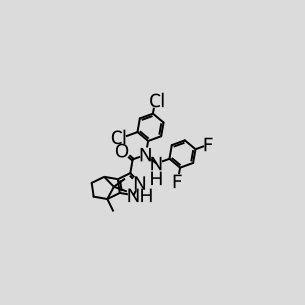 CC12CCC(c3c(C(=O)N(Nc4ccc(F)cc4F)c4ccc(Cl)cc4Cl)n[nH]c31)C2(C)C